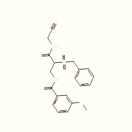 COc1cccc(C(=O)NCC(C(=O)NCC#N)S(=O)(=O)Cc2ccccc2)c1